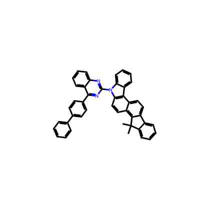 CC1(C)c2ccccc2-c2ccc3c(ccc4c3c3ccccc3n4-c3nc(-c4ccc(-c5ccccc5)cc4)c4ccccc4n3)c21